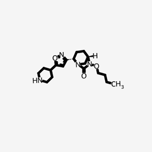 CCCCON1C(=O)N2C[C@@H]1CC[C@H]2c1cc(C2CCNCC2)on1